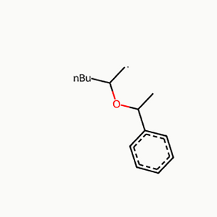 [CH2]C(CCCC)OC(C)c1ccccc1